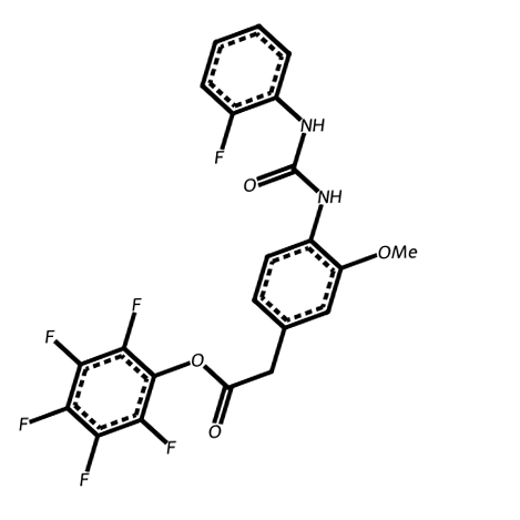 COc1cc(CC(=O)Oc2c(F)c(F)c(F)c(F)c2F)ccc1NC(=O)Nc1ccccc1F